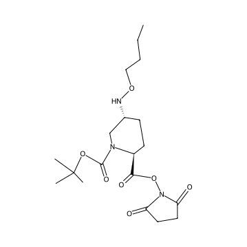 CCCCON[C@@H]1CC[C@@H](C(=O)ON2C(=O)CCC2=O)N(C(=O)OC(C)(C)C)C1